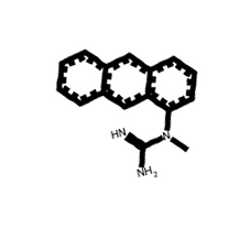 CN(C(=N)N)c1cccc2cc3ccccc3cc12